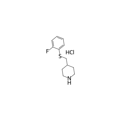 Cl.Fc1ccccc1SCC1CCNCC1